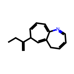 C=C(CC)C1C=CC=C2N=CC=CCC2=C1